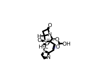 C[C@]1(/C=C\c2nccs2)[C@H](OC(=O)O)N2C(=O)C[C@H]2S1(=O)=O